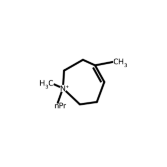 CCC[N+]1(C)CCC=C(C)CC1